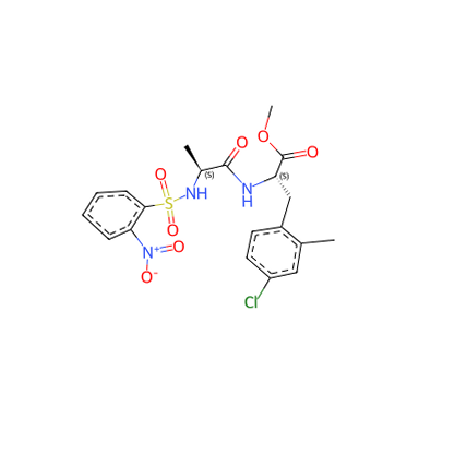 COC(=O)[C@H](Cc1ccc(Cl)cc1C)NC(=O)[C@H](C)NS(=O)(=O)c1ccccc1[N+](=O)[O-]